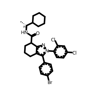 C[C@@H](NC(=O)C1CCCc2c1nn(-c1ccc(Cl)cc1Cl)c2-c1ccc(Br)cc1)C1CCCCC1